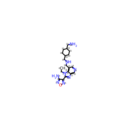 CCn1c(-c2nonc2N)nc2cncc(CNCC3CCC(CN)CC3)c21